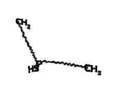 CCCCCCCCCCCCCCCCCCCCCCc1cc(CS)cc(CCCCCCCCCCCCCCCCCCCCCC)c1